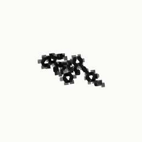 Cc1ccc(C#Cc2cccc3nc(C(C)NC(=O)c4c(C)nn5cccnc45)n(-c4ccccc4)c(=O)c23)cn1